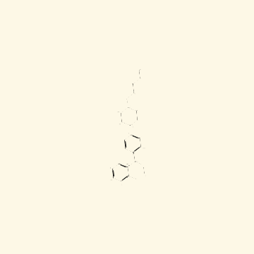 CCCCC[C@H]1CC[C@H](c2ccc(C(OC)c3ccccc3F)cc2)CC1